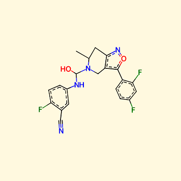 CC1Cc2noc(-c3ccc(F)cc3F)c2CN1C(O)Nc1ccc(F)c(C#N)c1